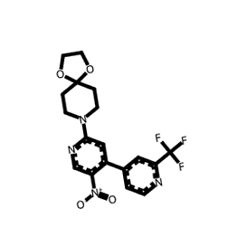 O=[N+]([O-])c1cnc(N2CCC3(CC2)OCCO3)cc1-c1ccnc(C(F)(F)F)c1